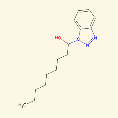 CCCCCCCCC(O)n1nnc2ccccc21